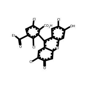 CCC(=O)c1cc(Cl)c(C(=O)O)c(-c2c3cc(Cl)c(=O)cc-3oc3cc(O)c(Cl)cc23)c1Cl